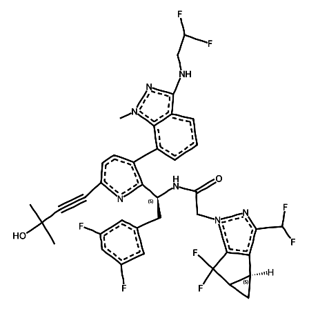 Cn1nc(NCC(F)F)c2cccc(-c3ccc(C#CC(C)(C)O)nc3[C@H](Cc3cc(F)cc(F)c3)NC(=O)Cn3nc(C(F)F)c4c3C(F)(F)C3C[C@H]43)c21